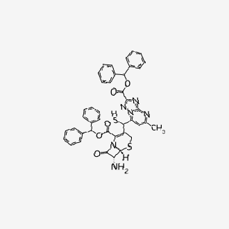 Cc1cc(C(S)C2=C(C(=O)OC(c3ccccc3)c3ccccc3)N3C(=O)[C@@H](N)[C@H]3SC2)n2nc(C(=O)OC(c3ccccc3)c3ccccc3)nc2n1